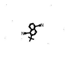 CC(C)(C)c1ccc2c(C#N)cccc2c1C#N